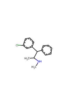 [CH2]C(NC)C(c1ccccc1)c1cccc(Cl)c1